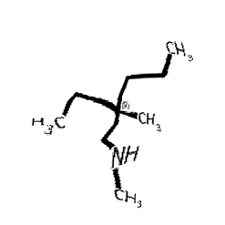 CCC[C@@](C)(CC)CNC